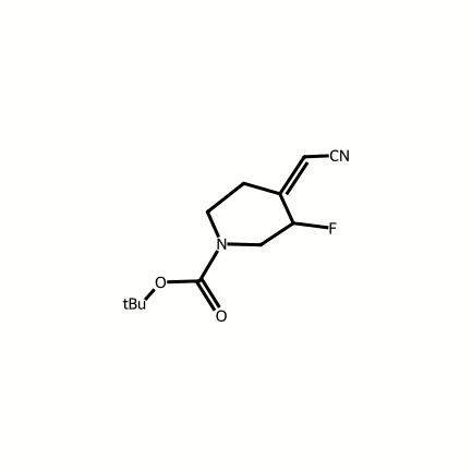 CC(C)(C)OC(=O)N1CC/C(=C/C#N)C(F)C1